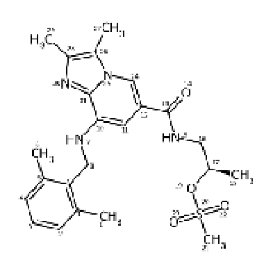 Cc1cccc(C)c1CNc1cc(C(=O)NC[C@@H](C)OS(C)(=O)=O)cn2c(C)c(C)nc12